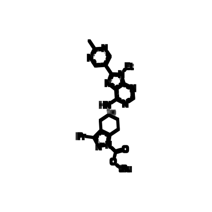 CCn1c(-c2cnc(C)nc2)nc2c(N[C@@H]3CCc4c(c(C(C)C)nn4C(=O)OC(C)(C)C)C3)ncnc21